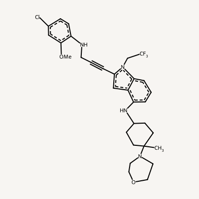 COc1cc(Cl)ccc1NCC#Cc1cc2c(NC3CCC(C)(N4CCOCC4)CC3)cccc2n1CC(F)(F)F